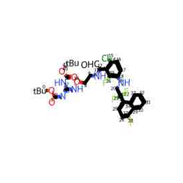 CC(C)(C)OC(=O)N=C(NOCCNC(C=O)c1c(Cl)ccc(NCC(F)(F)c2ccc(F)c3ccccc23)c1F)NC(=O)OC(C)(C)C